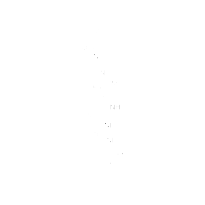 CCOC(=O)CNC(=O)Nc1cccc2c(C(=O)C(=O)N3CCN(C(=O)c4ccccc4)C[C@H]3C)c[nH]c12